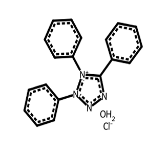 O.[Cl-].c1ccc(-c2nnn(-c3ccccc3)[n+]2-c2ccccc2)cc1